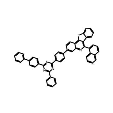 c1ccc(-c2ccc(-c3nc(-c4ccccc4)nc(-c4ccc(-c5ccc6c(c5)nc(-c5cccc7ccccc57)c5c7ccccc7sc65)cc4)n3)cc2)cc1